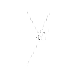 CCCCCCCCCCCCCCCCCC(=O)NC(CCC(=O)O)C(=O)N(CCCCCCCCCCCCCC)CCCCCCCCCCCCCC